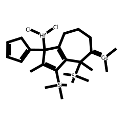 CC1=C([Si](C)(C)C)C2=C(CCC[C](=[Ge]([CH3])[CH3])C2(C)[Si](C)(C)C)[C]1(C1=CC=CC1)[Hf]([Cl])[Cl]